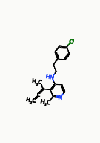 C=C=C(C)c1c(NCCc2ccc(Cl)cc2)ccnc1C